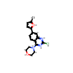 CCc1ccc(-c2ccc3c(N4CCOCC4)nc(Cl)nc3c2)o1